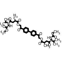 COC(=O)NN(C(=O)C[C@@H](C)C(=O)OCC(=O)c1ccc(-c2ccc(C(=O)COC(=O)[C@H](C)CC(=O)N(NC(=O)OC)C(C)C)cc2)cc1)C(C)C